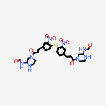 O=CNC1CN(C(=O)/C=C/c2ccc(Sc3ccc(/C=C/C(=O)N4CCNC(NC=O)C4)cc3[N+](=O)[O-])c([N+](=O)[O-])c2)CCN1